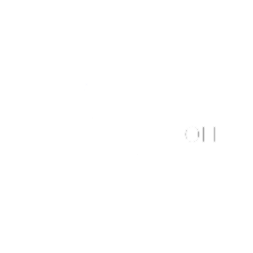 C=C(O)/C(C)=C\C